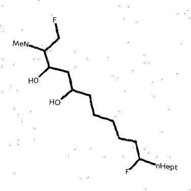 CCCCCCCC(F)CCCCCC(O)CC(O)C(CF)NC